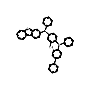 Cc1cc(N(c2ccccc2)c2ccc3c(c2)sc2ccccc23)ccc1N(c1ccccc1)c1ccc(-c2ccccc2)cc1